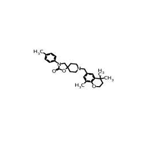 Cc1ccc(N2CC3(CCN(Cc4cc(C)c5c(c4)C(C)(C)CCO5)CC3)OC2=O)cc1